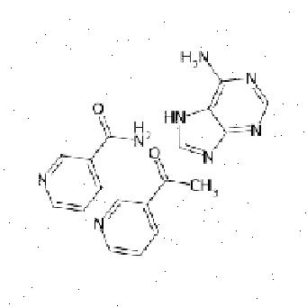 CC(=O)c1cccnc1.NC(=O)c1cccnc1.Nc1ncnc2nc[nH]c12